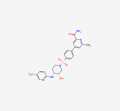 Cc1cc(-c2ccc(S(=O)(=O)N3CC[C@@H](Nc4ccc(C(F)(F)F)cn4)[C@@H](O)C3)cc2)cc(C(N)=O)n1